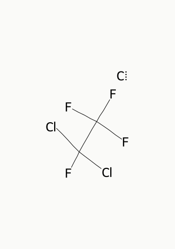 FC(F)(F)C(F)(Cl)Cl.[C]